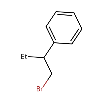 CCC(CBr)c1ccccc1